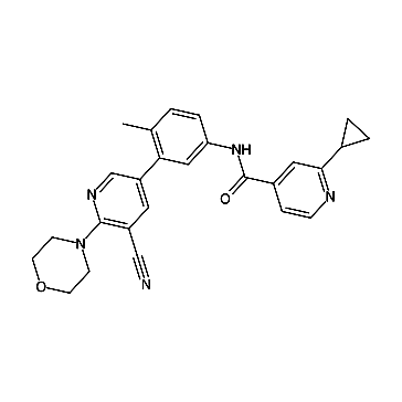 Cc1ccc(NC(=O)c2ccnc(C3CC3)c2)cc1-c1cnc(N2CCOCC2)c(C#N)c1